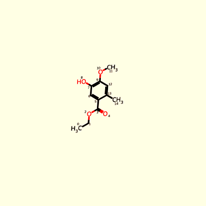 CCOC(=O)c1cc(O)c(OC)cc1C